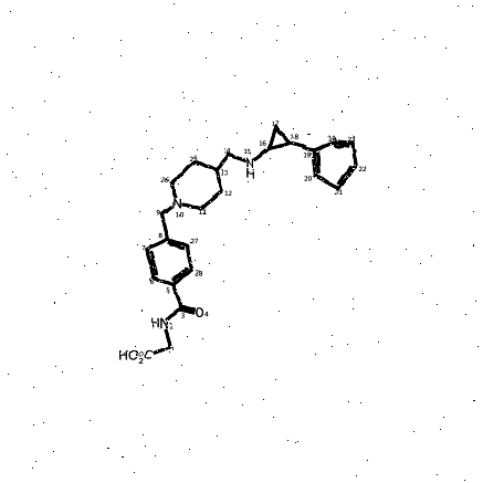 O=C(O)CNC(=O)c1ccc(CN2CCC(CNC3CC3c3ccccc3)CC2)cc1